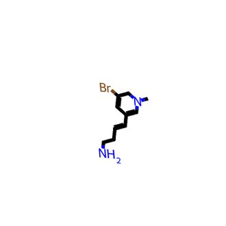 CN1C=C(/C=C/CCN)C=C(Br)C1